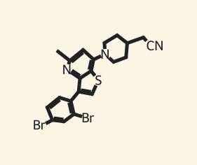 Cc1cc(N2CCC(CC#N)CC2)c2scc(-c3ccc(Br)cc3Br)c2n1